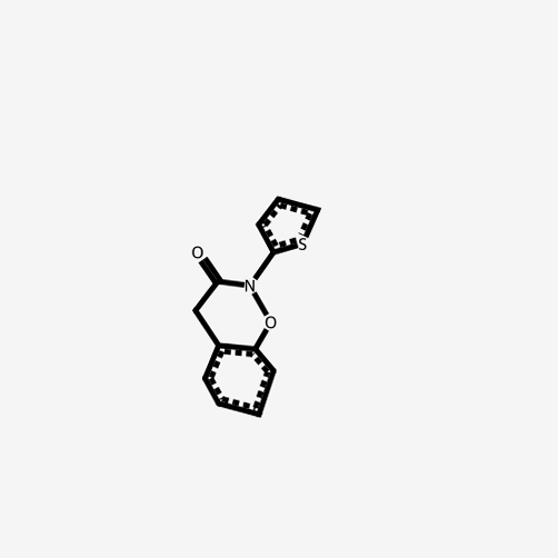 O=C1Cc2ccccc2ON1c1cccs1